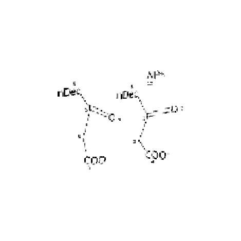 CCCCCCCCCCC(=O)CC(=O)[O-].CCCCCCCCCCC(=O)CC(=O)[O-].[Al+2]